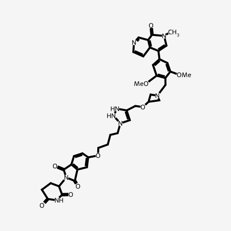 COc1cc(-c2cn(C)c(=O)c3cnccc23)cc(OC)c1CN1CC(OCC2=CN(CCCCOc3ccc4c(c3)C(=O)N(C3CCC(=O)NC3=O)C4=O)NN2)C1